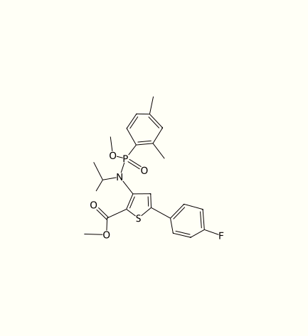 COC(=O)c1sc(-c2ccc(F)cc2)cc1N(C(C)C)P(=O)(OC)c1ccc(C)cc1C